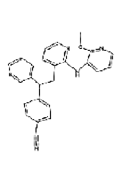 COc1ncccc1Nc1ncccc1CC(c1ccc(C#N)cc1)c1cccnc1